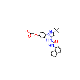 COC(=O)COc1ccc(-n2nc(C(C)(C)C)cc2NC(=O)Nc2cccc3ccccc23)cc1